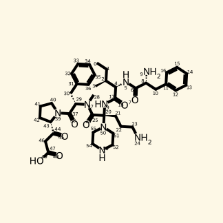 CC[C@H](C)[C@H](NC(=O)[C@H](N)Cc1ccccc1)C(=O)N[C@@](CCCN)(C(=O)N(C)[C@@H](Cc1ccccc1)C(=O)N1CCC[C@H]1C(=O)CC(=O)O)N1CCNCC1